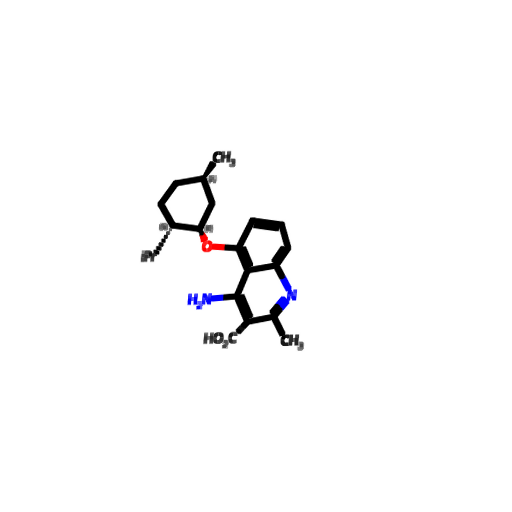 Cc1nc2cccc(O[C@@H]3C[C@H](C)CC[C@H]3C(C)C)c2c(N)c1C(=O)O